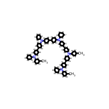 Cc1ccc(N(c2ccc(-c3ccc(N(c4ccccc4)c4ccc(-c5ccc(N(c6ccccc6)c6ccc(-c7ccc(N(c8ccccc8)c8cccc(C)c8)cc7)cc6)cc5)cc4)cc3)cc2)c2ccc(-c3ccc(N(c4ccccc4)c4cccc(C)c4)cc3)cc2)cc1